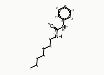 CCCCCCCNC(=O)Nc1ccccc1